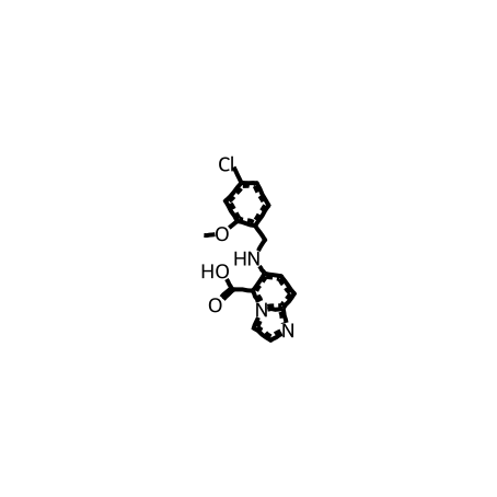 COc1cc(Cl)ccc1CNc1ccc2nccn2c1C(=O)O